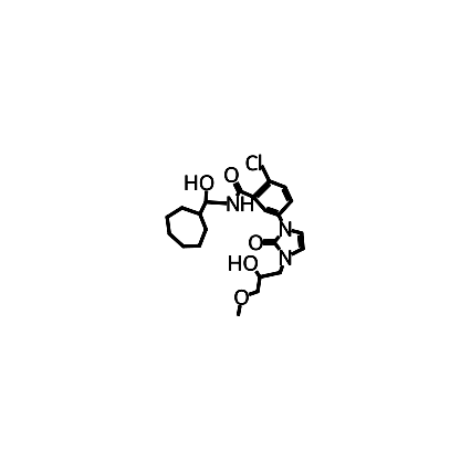 COCC(O)Cn1ccn(-c2ccc(Cl)c(C(=O)NC(O)C3CCCCCC3)c2)c1=O